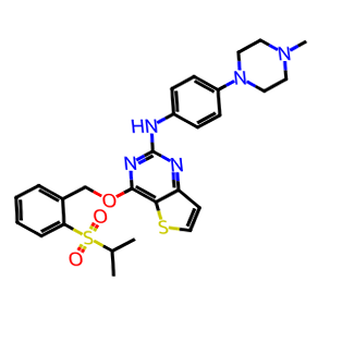 CC(C)S(=O)(=O)c1ccccc1COc1nc(Nc2ccc(N3CCN(C)CC3)cc2)nc2ccsc12